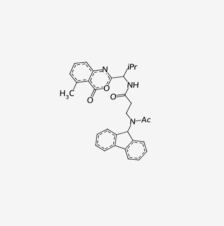 CC(=O)N(CCC(=O)NC(c1nc2cccc(C)c2c(=O)o1)C(C)C)C1c2ccccc2-c2ccccc21